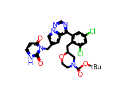 CC(C)(C)OC(=O)N1CCOC(Cc2c(Cl)cc(Cl)cc2-c2ncnn3cc(Cn4c(=O)cc[nH]c4=O)cc23)C1